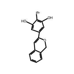 CC(C)c1c(O)cc(C2=Cc3ccccc3CO2)cc1O